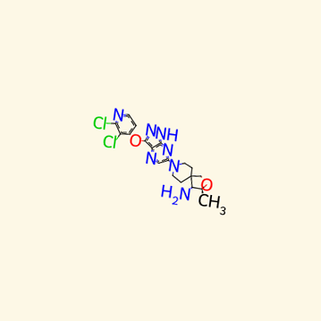 C[C@@H]1OCC2(CCN(c3cnc4c(Oc5ccnc(Cl)c5Cl)n[nH]c4n3)CC2)[C@@H]1N